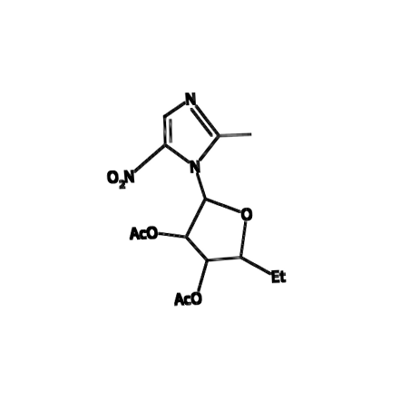 CCC1OC(n2c([N+](=O)[O-])cnc2C)C(OC(C)=O)C1OC(C)=O